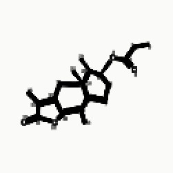 CCC(=O)O[C@H]1CC=C2C(C)=C3OC(=O)C(C)=C3C[C@]2(C)[C@H]1C